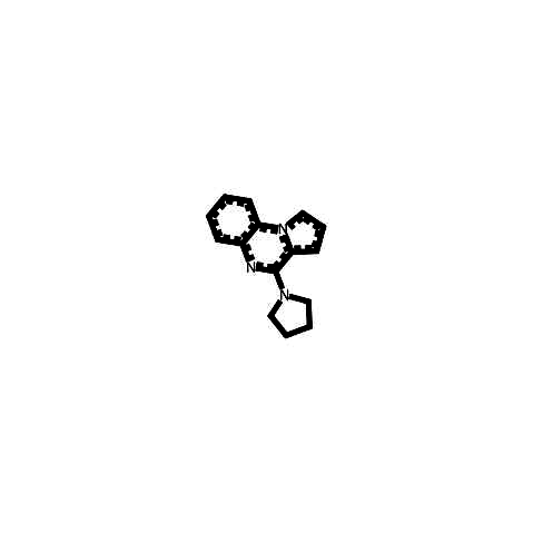 c1ccc2c(c1)nc(N1CCCC1)c1cccn12